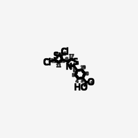 O=C(O)c1ccc(-c2nc(-c3cc(Cl)sc3Cl)cs2)cc1